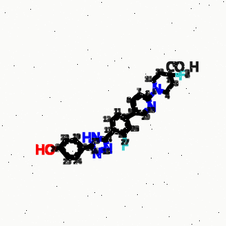 O=C(O)C1(F)CCN(c2ccc(-c3ccc(-c4nnc(-c5ccc(O)cc5)[nH]4)c(F)c3)cn2)CC1